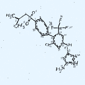 CC(C)CS(=O)(=O)c1ccc(-c2c(Cl)cc(Nc3n[nH]c(N)n3)cc2C(F)(F)F)cc1